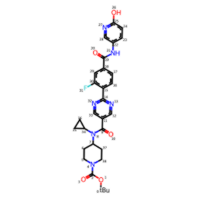 CC(C)(C)OC(=O)N1CCC(N(C(=O)c2cnc(-c3ccc(C(=O)Nc4ccc(O)nc4)cc3F)nc2)C2CC2)CC1